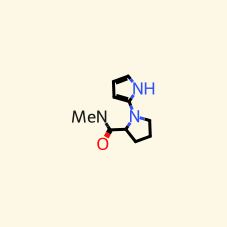 CNC(=O)C1CCCN1c1ccc[nH]1